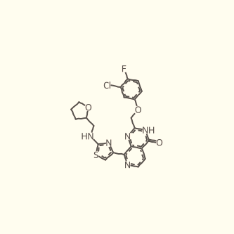 O=c1[nH]c(COc2ccc(F)c(Cl)c2)nc2c(-c3csc(NCC4CCCO4)n3)nccc12